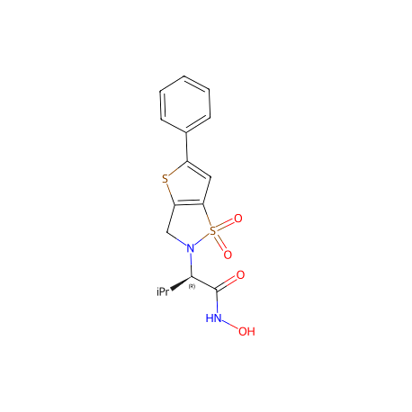 CC(C)[C@H](C(=O)NO)N1Cc2sc(-c3ccccc3)cc2S1(=O)=O